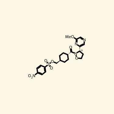 COc1cncc([C@@H]2CCON2C(=O)[C@H]2CC[C@H](COS(=O)(=O)c3ccc([N+](=O)[O-])cc3)CC2)n1